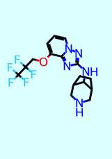 FC(F)(F)C(F)(F)COc1cccn2nc(NC3C4CCC3CNC4)nc12